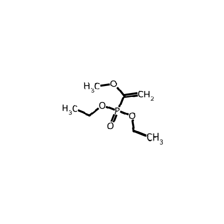 C=C(OC)P(=O)(OCC)OCC